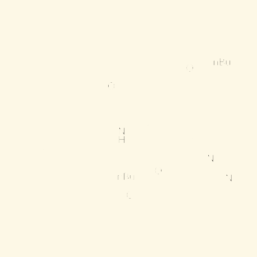 CCCCOc1cc([N+]#N)c(OCCCC)c(NC(=O)c2ccccc2)c1.[Cl-]